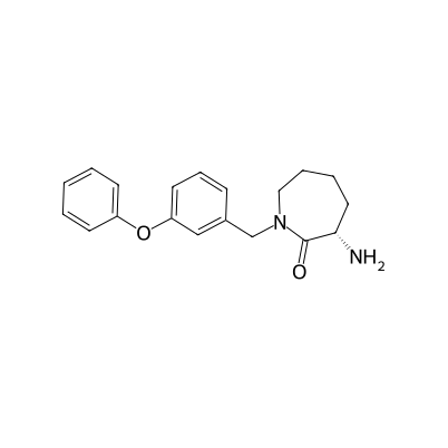 N[C@H]1CCCCN(Cc2cccc(Oc3ccccc3)c2)C1=O